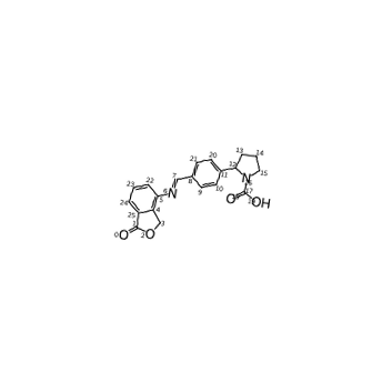 O=C1OCc2c(N=Cc3ccc(C4CCCN4C(=O)O)cc3)cccc21